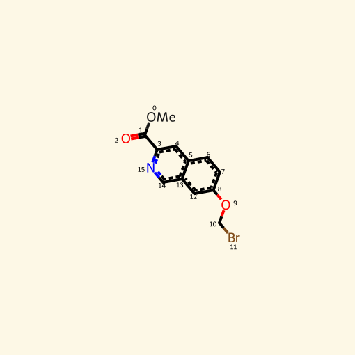 COC(=O)c1cc2ccc(OCBr)cc2cn1